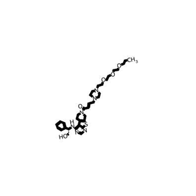 CCCOCCOCCOCCN1CCN(C/C=C/C(=O)N2CCc3c(sc4ncnc(N[C@H](CO)c5ccccc5)c34)C2)CC1